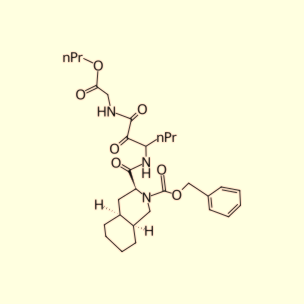 CCCOC(=O)CNC(=O)C(=O)C(CCC)NC(=O)[C@@H]1C[C@@H]2CCCC[C@@H]2CN1C(=O)OCc1ccccc1